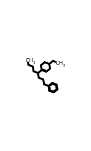 CCCCC(CCCc1ccccc1)C1=CCC(CC)CC1